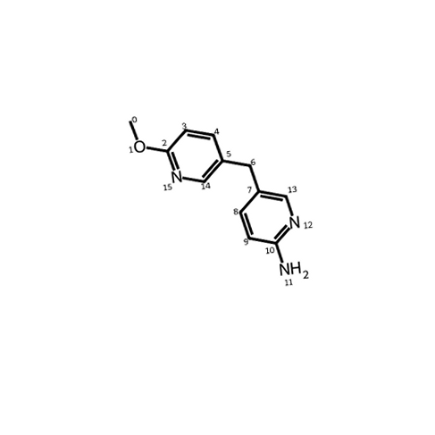 COc1ccc(Cc2ccc(N)nc2)cn1